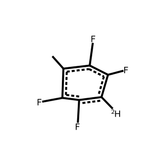 [2H]c1c(F)c(F)c(C)c(F)c1F